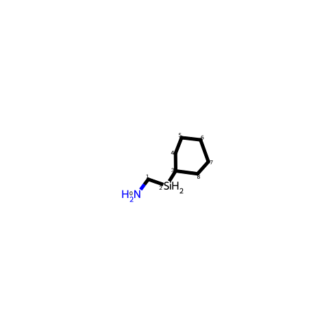 NC[SiH2]C1CCCCC1